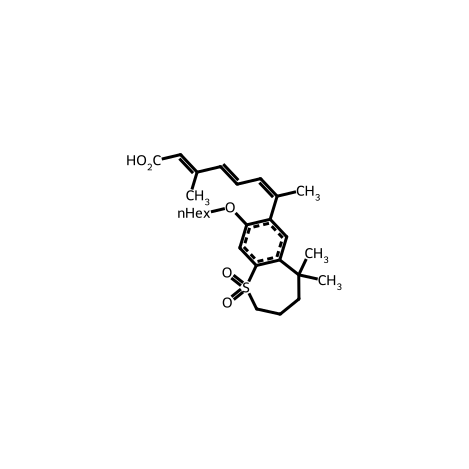 CCCCCCOc1cc2c(cc1\C(C)=C/C=C/C(C)=C/C(=O)O)C(C)(C)CCCS2(=O)=O